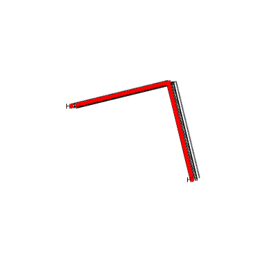 I.I.[Na+].[Na+].[Na+].[Na+].[Na+].[Na+].[Na+].[Na+].[Na+].[Na+].[Na+].[Na+].[Na+].[Na+].[Na+].[Na+].[Na+].[Na+].[Na+].[Na+].[Na+].[Na+].[Na+].[Na+].[Na+].[Na+].[Na+].[Na+].[Na+].[Na+].[Na+].[Na+].[Na+].[Na+].[Na+].[Na+].[Na+].[Na+].[Na+].[Na+].[Na+].[Na+].[Na+].[Na+].[Na+].[Na+].[Na+].[Na+].[Na+].[Na+].[Na+].[Na+].[Na+].[Na+].[Na+].[Na+].[Na+].[Na+].[Na+].[Na+].[Na+].[Na+].[Na+].[Na+].[Na+].[Na+].[Na+].[Na+].[Na+].[Na+].[Na+].[Na+].[Na+].[Na+].[Na+].[Na+].[Na+].[Na+].[Na+].[Na+].[Na+].[Na+].[Na+].[Na+].[Na+].[Na+].[Na+].[Na+].[Na+].[Na+].[Na+].[Na+].[Na+].[Na+].[Na+].[Na+].[Na+].[Na+].[Na+].[Na+].[Na+].[Na+].[Na+].[Na+].[Na+].[Na+].[Na+].[Na+].[Na+].[Na+].[Na+].[Na+].[Na+].[Na+].[Na+].[Na+].[Na+].[Na+].[Na+].[Na+].[Na+].[Na+].[Na+].[Na+].[Na+].[Na+].[Na+].[Na+].[Na+].[Na+].[Na+]